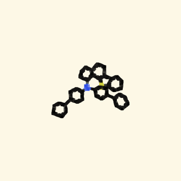 c1ccc(-c2ccc(N(c3ccc(-c4ccccc4)cc3)c3cccc4ccc5c6ccccc6sc5c34)cc2)cc1